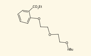 CCCCOCCOCCOc1ccccc1C(=O)OCC